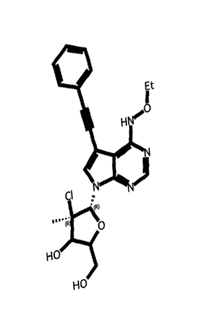 CCONc1ncnc2c1c(C#Cc1ccccc1)cn2[C@@H]1OC(CO)C(O)[C@@]1(C)Cl